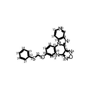 Nc1nonc1-c1nc2cnccc2n1-c1ccc(OCSc2ccccc2)cc1